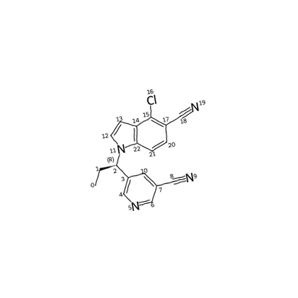 CC[C@H](c1cncc(C#N)c1)n1ccc2c(Cl)c(C#N)ccc21